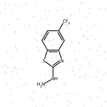 NNc1nc2cc(C(F)(F)F)ccc2s1